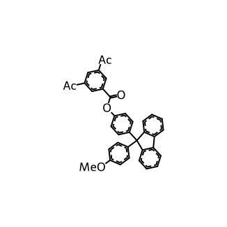 COc1ccc(C2(c3ccc(OC(=O)c4cc(C(C)=O)cc(C(C)=O)c4)cc3)c3ccccc3-c3ccccc32)cc1